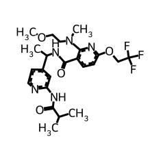 COCCN(C)c1nc(OCC(F)(F)F)ccc1C(=O)NC(C)c1ccnc(NC(=O)C(C)C)c1